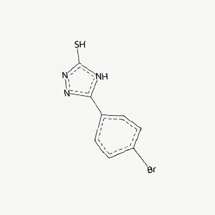 Sc1nnc(-c2ccc(Br)cc2)[nH]1